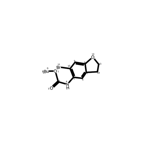 CC(C)(C)OC(=O)Nc1cc2c(cc1Br)OCC2